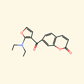 CCN(CC)c1occc1C(=O)c1ccc2ccc(=O)oc2c1